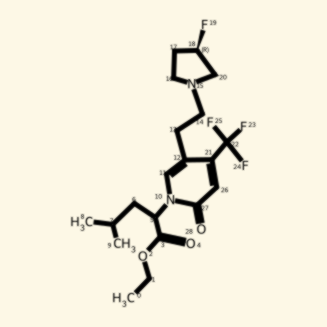 CCOC(=O)C(CC(C)C)n1cc(CCN2CC[C@@H](F)C2)c(C(F)(F)F)cc1=O